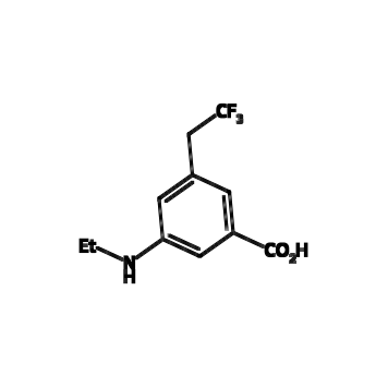 CCNc1cc(CC(F)(F)F)cc(C(=O)O)c1